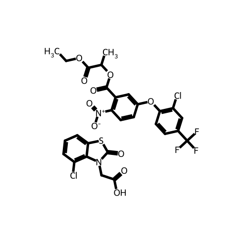 CCOC(=O)C(C)OC(=O)c1cc(Oc2ccc(C(F)(F)F)cc2Cl)ccc1[N+](=O)[O-].O=C(O)Cn1c(=O)sc2cccc(Cl)c21